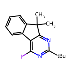 CC(C)(C)c1nc(I)c2c(n1)C(C)(C)c1ccccc1-2